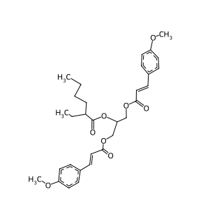 CCCCC(CC)C(=O)OC(COC(=O)/C=C/c1ccc(OC)cc1)COC(=O)/C=C/c1ccc(OC)cc1